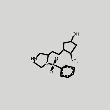 NC1CC(O)CC1CCC1CNCCN1S(=O)(=O)c1ccccc1